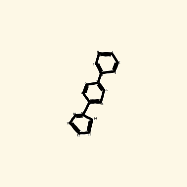 [c]1cccc(-c2ccc(-c3c[c]ccc3)cc2)c1